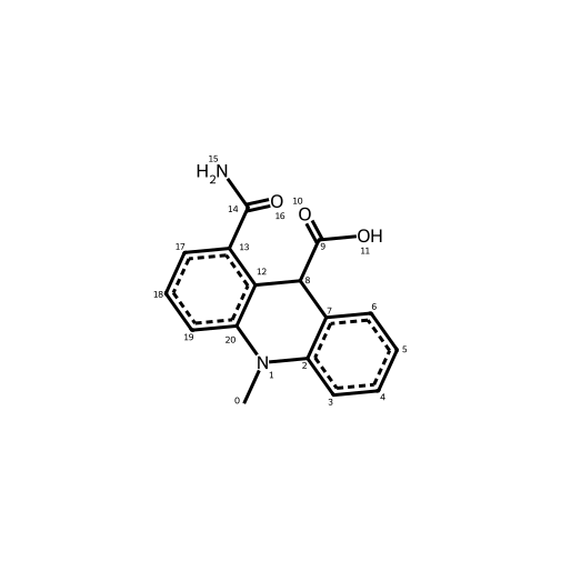 CN1c2ccccc2C(C(=O)O)c2c(C(N)=O)cccc21